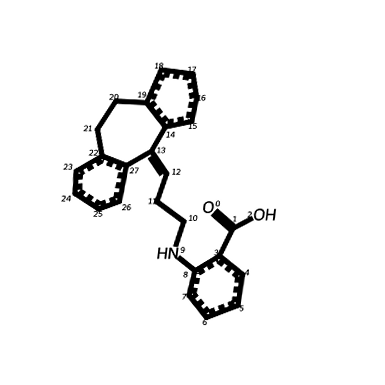 O=C(O)c1ccccc1NCCC=C1c2ccccc2CCc2ccccc21